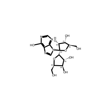 OC[C@H]1O[C@@](C2O[C@H](CO)[C@H](O)[C@H]2O)(n2cnc3c(O)ncnc32)[C@H](O)[C@@H]1O